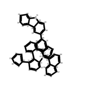 c1ccc(-c2ccccc2-c2c(-c3ccccc3)cccc2N(c2ccc(-c3ccc4sc5ccccc5c4c3)cc2)c2cccc3ccccc23)cc1